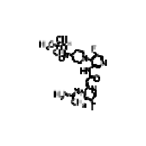 C/C(N)=N\N1C=C(F)C=N/C1=C\C(=O)Nc1cncc(F)c1N1CCC(C(=O)OC(C)(C)C)CC1